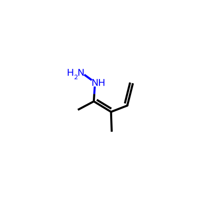 C=CC(C)=C(C)NN